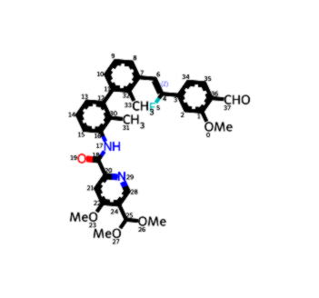 COc1cc(/C(F)=C/c2cccc(-c3cccc(NC(=O)c4cc(OC)c(C(OC)OC)cn4)c3C)c2C)ccc1C=O